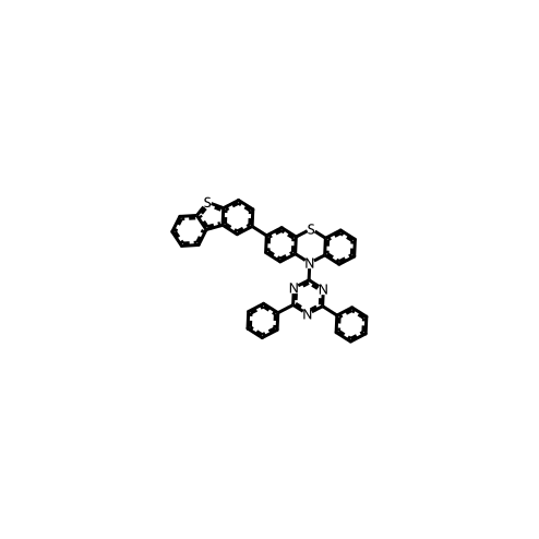 c1ccc(-c2nc(-c3ccccc3)nc(N3c4ccccc4Sc4cc(-c5ccc6sc7ccccc7c6c5)ccc43)n2)cc1